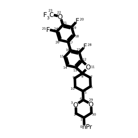 CCCC1COC(C2CCC3(CC2)Oc2c3ccc(-c3cc(F)c(OC(F)(F)F)c(F)c3)c2F)OC1